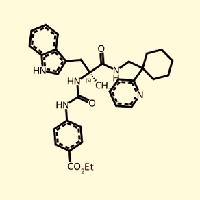 CCOC(=O)c1ccc(NC(=O)N[C@@](C)(Cc2c[nH]c3ccccc23)C(=O)NCC2(c3ccccn3)CCCCC2)cc1